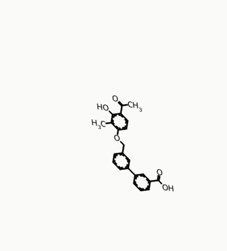 CC(=O)c1ccc(OCc2cccc(-c3cccc(C(=O)O)c3)c2)c(C)c1O